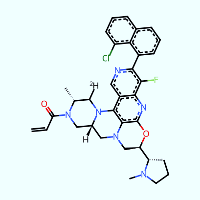 [2H]C1[C@@H](C)N(C(=O)C=C)C[C@H]2CN3C[C@H]([C@@H]4CCCN4C)Oc4nc5c(F)c(-c6cccc7cccc(Cl)c67)ncc5c(c43)N12